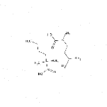 CC(C)CCC(C)C(=O)O.CCCCC(C)(C)C(=O)O